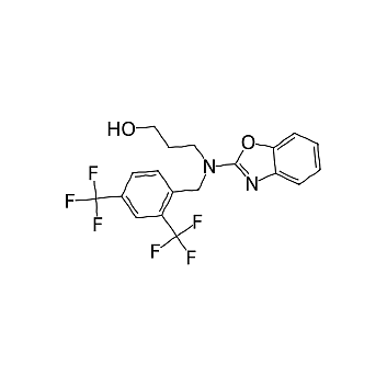 OCCCN(Cc1ccc(C(F)(F)F)cc1C(F)(F)F)c1nc2ccccc2o1